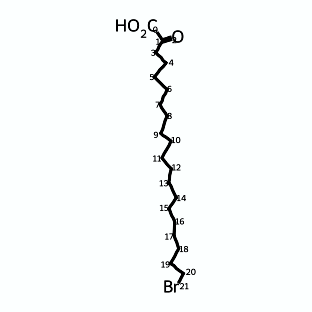 O=C(O)C(=O)CCCCCCCCCCCCCCCCCCBr